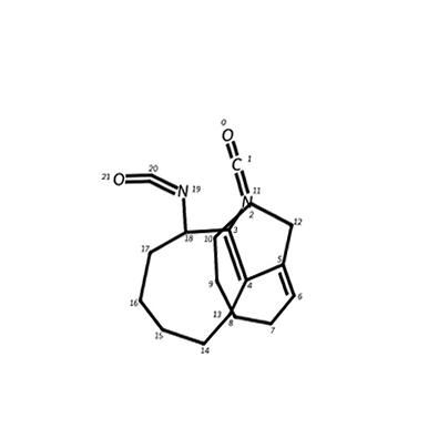 O=C=N/C1=C(\C2=C/CCCCCC2)CCCCCC1N=C=O